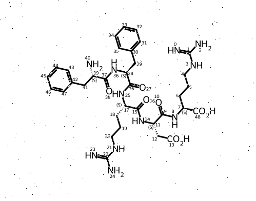 N=C(N)NCCC[C@H](NC(=O)[C@H](CC(=O)O)NC(=O)[C@H](CCCNC(=N)N)NC(=O)[C@H](Cc1ccccc1)NC(=O)[C@@H](N)Cc1ccccc1)C(=O)O